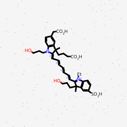 CC[N+]1=C(/C=C/C=C/C=C/C=C2/N(CCCO)c3ccc(CC(=O)O)cc3C2(C)CCCC(=O)O)C(C)(CCCO)c2cc(S(=O)(=O)O)ccc21